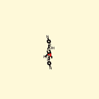 CCCSC1(SCCC)C2CN(CC(O)COc3ccc(C#N)cc3)CC1CN(CC(O)COc1ccc(C#N)cc1)C2